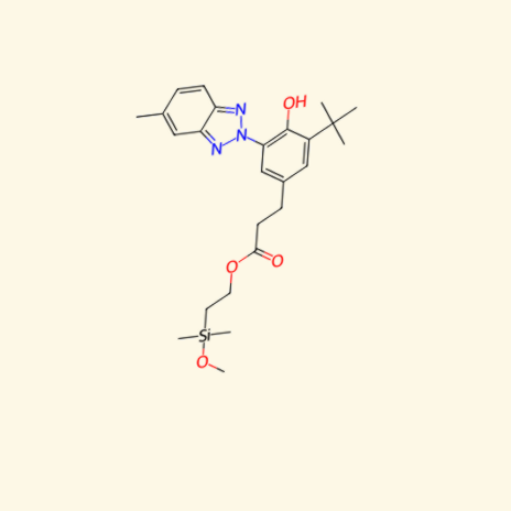 CO[Si](C)(C)CCOC(=O)CCc1cc(-n2nc3ccc(C)cc3n2)c(O)c(C(C)(C)C)c1